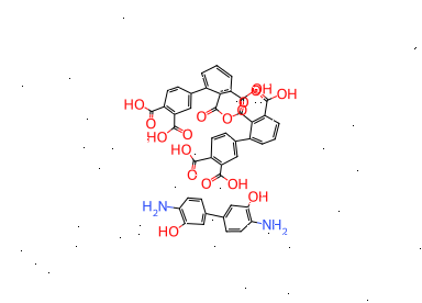 Nc1ccc(-c2ccc(N)c(O)c2)cc1O.O=C(O)c1ccc(-c2cccc(C(=O)O)c2C(=O)OC(=O)c2c(C(=O)O)cccc2-c2ccc(C(=O)O)c(C(=O)O)c2)cc1C(=O)O